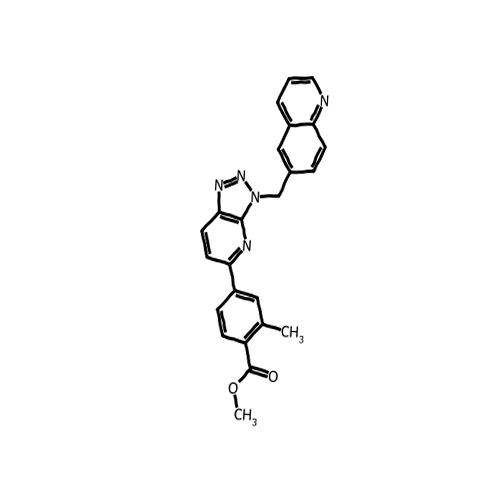 COC(=O)c1ccc(-c2ccc3nnn(Cc4ccc5ncccc5c4)c3n2)cc1C